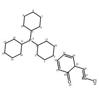 C1CCC(P(C2CCCCC2)C2CCCCC2)CC1.O=C1C=CC=CC1[CH]=[Ru][Cl]